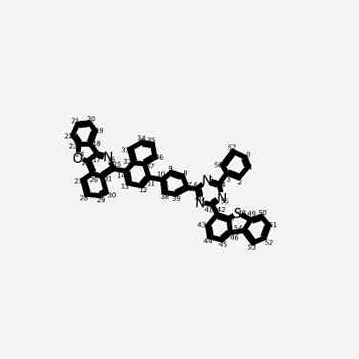 c1ccc(-c2nc(-c3ccc(-c4ccc(-c5nc6c7ccccc7oc6c6ccccc56)c5ccccc45)cc3)nc(-c3cccc4c3sc3ccccc34)n2)cc1